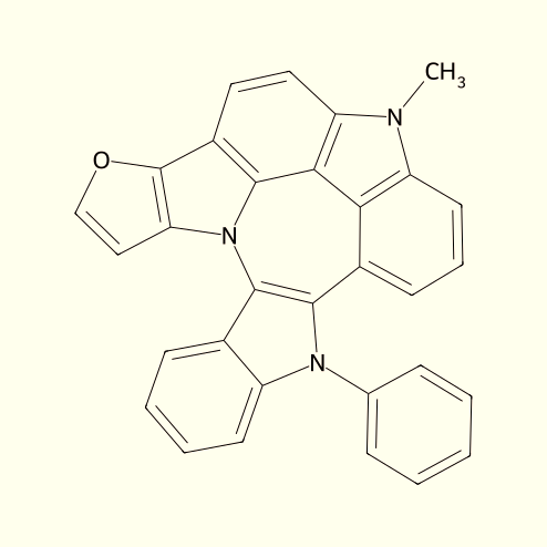 Cn1c2cccc3c2c2c1ccc1c4occc4n(c12)c1c2ccccc2n(-c2ccccc2)c31